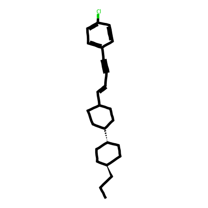 CCC[C@H]1CC[C@H](C2CCC(/C=C/C#Cc3ccc(Cl)cc3)CC2)CC1